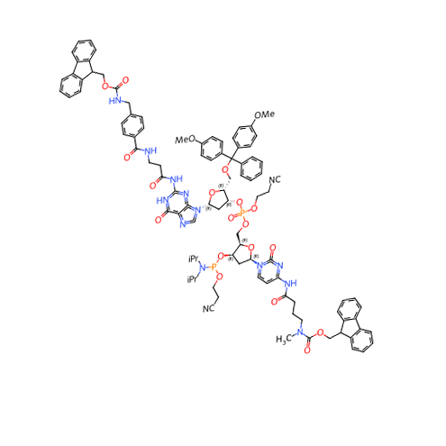 [C-]#[N+]CCOP(=O)(OC[C@H]1O[C@@H](n2ccc(NC(=O)CCCN(C)C(=O)OCC3c4ccccc4-c4ccccc43)nc2=O)C[C@H]1OP(OCCC#N)N(C(C)C)C(C)C)O[C@@H]1C[C@H](n2cnc3c(=O)[nH]c(NC(=O)CCNC(=O)c4ccc(CNC(=O)OCC5c6ccccc6-c6ccccc65)cc4)nc32)O[C@@H]1COC(c1ccccc1)(c1ccc(OC)cc1)c1ccc(OC)cc1